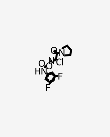 O=C(Nc1cc(F)cc(F)c1)ON=C(Cl)C(=O)N1CCCCC1